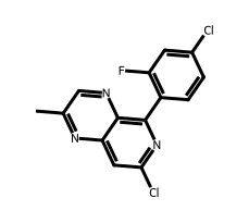 Cc1cnc2c(-c3ccc(Cl)cc3F)nc(Cl)cc2n1